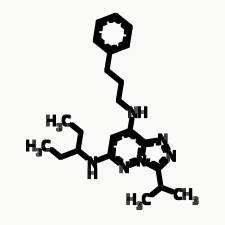 CCC(CC)Nc1cc(NCCCc2ccccc2)c2nnc(C(C)C)n2n1